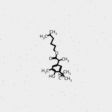 Cc1cc(C(C)C(=O)OCCCCC(C)C)cc(C(C)(C)C)c1O